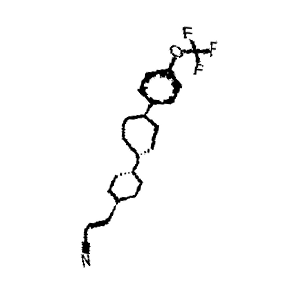 N#CC=C[C@H]1CC[C@H]([C@H]2CC[C@H](c3ccc(OC(F)(F)F)cc3)CC2)CC1